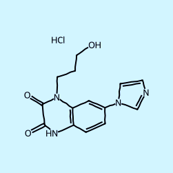 Cl.O=c1[nH]c2ccc(-n3ccnc3)cc2n(CCCO)c1=O